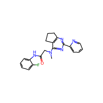 CN(CC(=O)Nc1ccccc1F)c1nc(-c2ccccn2)nc2c1CCC2